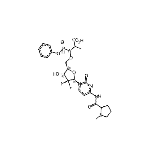 CC(C(=O)O)N(OC[C@H]1O[C@@H](n2ccc(NC(=O)C3CCCN3C)nc2=O)C(F)(F)[C@@H]1O)[PH](=O)Oc1ccccc1